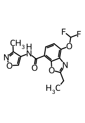 CCc1nc2c(OC(F)F)ccc(C(=O)Nc3conc3C)c2o1